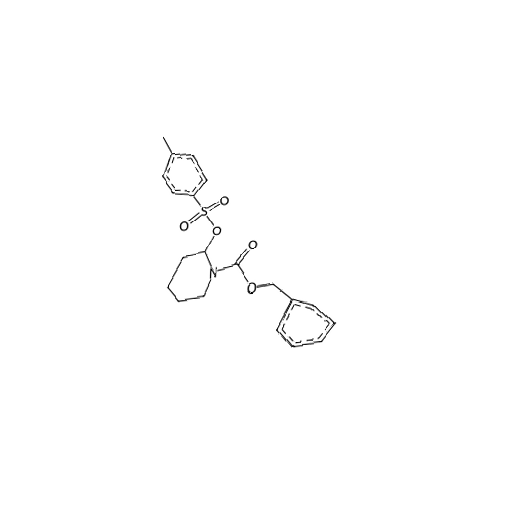 Cc1ccc(S(=O)(=O)OC2CCCCN2C(=O)OCc2ccccc2)cc1